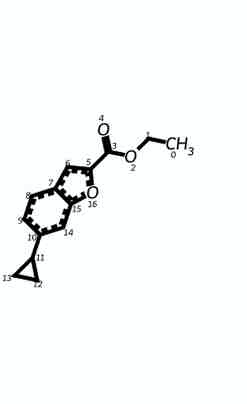 CCOC(=O)c1cc2ccc(C3CC3)cc2o1